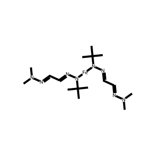 CN(C)N=CC=N[N]([Fe][N](N=CC=NN(C)C)C(C)(C)C)C(C)(C)C